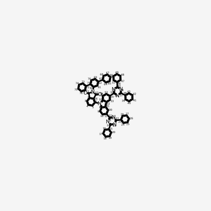 O=C1c2cccc(-n3c4ccc(-c5nc(-c6ccccc6)nc(-c6ccccc6)n5)cc4c4cc(-c5nc(-c6ccccc6)nc(-c6ccccc6)n5)ccc43)c2C(=O)N1c1cc(-c2ccccc2)ccc1-c1ccccc1